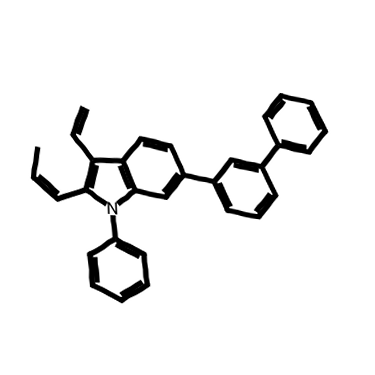 C=Cc1c(/C=C\C)n(-c2ccccc2)c2cc(-c3cccc(-c4ccccc4)c3)ccc12